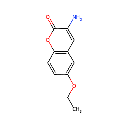 CCOc1ccc2oc(=O)c(N)cc2c1